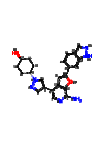 Nc1ncc(-c2cnn([C@H]3CC[C@H](O)CC3)c2)c2cc(-c3ccc4cn[nH]c4c3)oc12